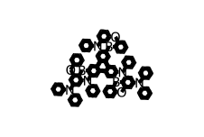 c1ccc(N(c2ccccc2)c2cc3c4c(c2)N(c2ccccc2)c2cc5c(cc2B4c2ccccc2O3)c2cc3c(cc2c2cc4c(cc52)B2c5ccccc5Oc5cc(N(c6ccccc6)c6ccccc6)cc(c52)N4c2ccccc2)B2c4ccccc4Oc4cccc(c42)N3c2ccccc2)cc1